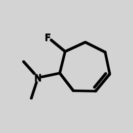 CN(C)C1CC=CCCC1F